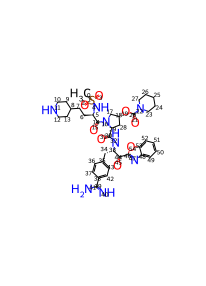 CS(=O)(=O)N[C@H](CCC1CCNCC1)C(=O)N1C[C@H](OC(=O)N2CCCCC2)C[C@H]1C(=O)N[C@@H](Cc1ccc(C(=N)N)cc1)C(=O)c1nc2ccccc2o1